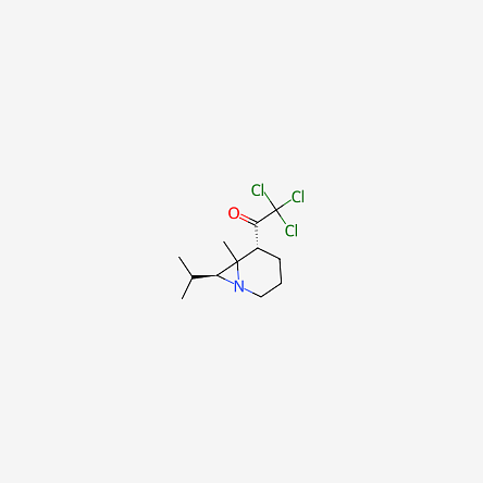 CC(C)[C@@H]1N2CCC[C@@H](C(=O)C(Cl)(Cl)Cl)C12C